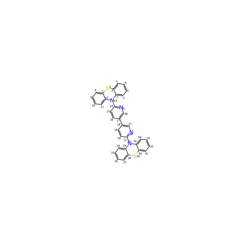 c1ccc2c(c1)Sc1ccccc1N2c1ccc(-c2ccc(N3c4ccccc4Sc4ccccc43)nc2)cn1